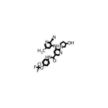 Cc1cnc(C#N)c(Nc2cc(C(=O)Nc3ccc(OC(F)(F)Cl)cc3)cnc2N2CCC(O)C2)c1